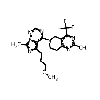 COCCCc1nc(C)n2ncnc(N3CCc4nc(C)nc(C(F)(F)F)c4C3)c12